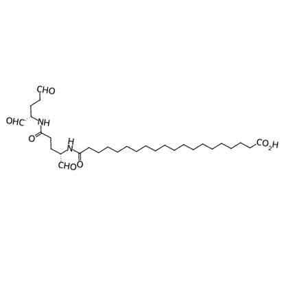 O=CCC[C@@H](C=O)NC(=O)CC[C@@H](C=O)NC(=O)CCCCCCCCCCCCCCCCCCC(=O)O